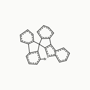 Brc1cccc2c1C1(c3ccccc3-2)c2ccccc2-c2c1sc1ccccc21